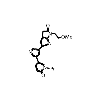 COCCN1C(=O)Cc2cc(-c3cncc(-c4ccc(=O)n(C(C)C)c4)c3)cnc21